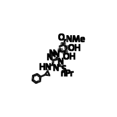 CCCSc1nc(NC2CC2c2ccccc2)c2nnn([C@H]3C[C@@H](C(=O)NC)[C@H](O)[C@@H]3O)c2n1